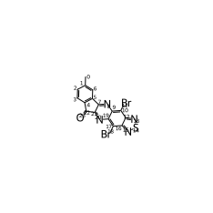 Cc1ccc2c(c1)-c1nc3c(Br)c4nsnc4c(Br)c3nc1C2=O